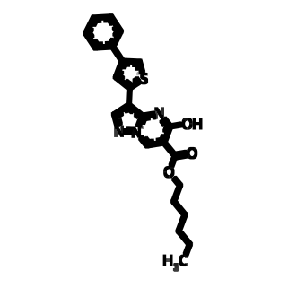 CCCCCCOC(=O)c1cn2ncc(-c3cc(-c4ccccc4)cs3)c2nc1O